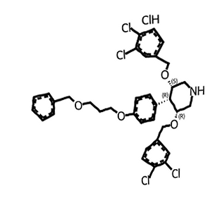 Cl.Clc1ccc(CO[C@H]2CNC[C@@H](OCc3ccc(Cl)c(Cl)c3)[C@H]2c2ccc(OCCCOCc3ccccc3)cc2)cc1Cl